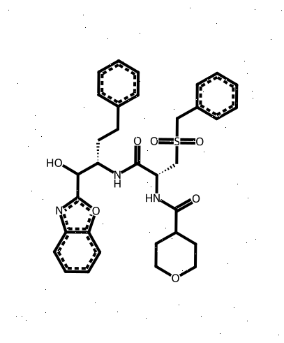 O=C(N[C@@H](CS(=O)(=O)Cc1ccccc1)C(=O)N[C@@H](CCc1ccccc1)C(O)c1nc2ccccc2o1)C1CCOCC1